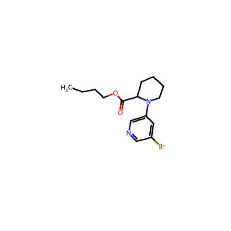 CCCCOC(=O)C1CCCCN1c1cncc(Br)c1